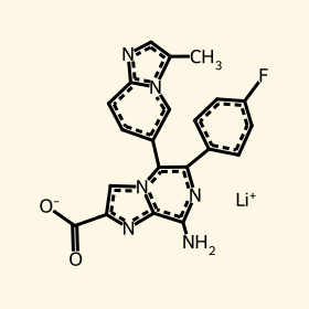 Cc1cnc2ccc(-c3c(-c4ccc(F)cc4)nc(N)c4nc(C(=O)[O-])cn34)cn12.[Li+]